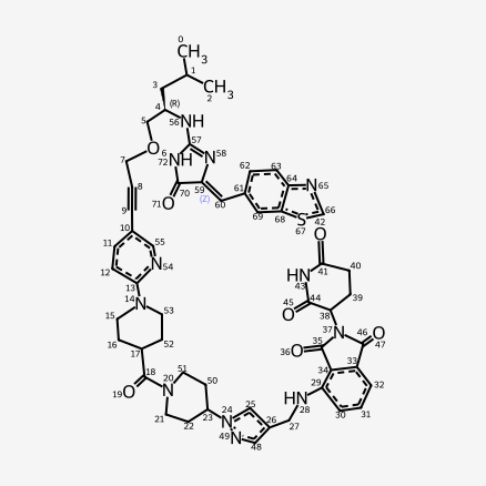 CC(C)C[C@H](COCC#Cc1ccc(N2CCC(C(=O)N3CCC(n4cc(CNc5cccc6c5C(=O)N(C5CCC(=O)NC5=O)C6=O)cn4)CC3)CC2)nc1)NC1=N/C(=C\c2ccc3ncsc3c2)C(=O)N1